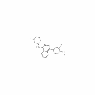 COc1ccc(-c2nnc(NC3CCCN(C)C3)c3cnccc23)cc1F